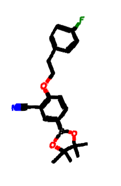 CC1(C)OB(c2ccc(OCCc3ccc(F)cc3)c(C#N)c2)OC1(C)C